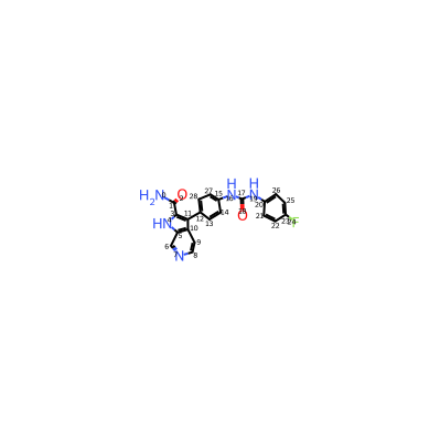 NC(=O)c1[nH]c2cnccc2c1-c1ccc(NC(=O)Nc2ccc(F)cc2)cc1